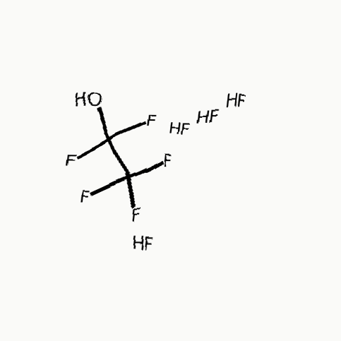 F.F.F.F.OC(F)(F)C(F)(F)F